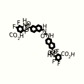 O=C(Nc1ccc2cc(S(=O)(=O)Nc3c(F)c(F)cc(C(=O)O)c3F)ccc2c1)Nc1ccc2cc(S(=O)(=O)Nc3c(F)c(F)cc(C(=O)O)c3F)ccc2c1